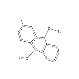 CCOc1c2ccccc2c(OCC)c2cc(Cl)ccc12